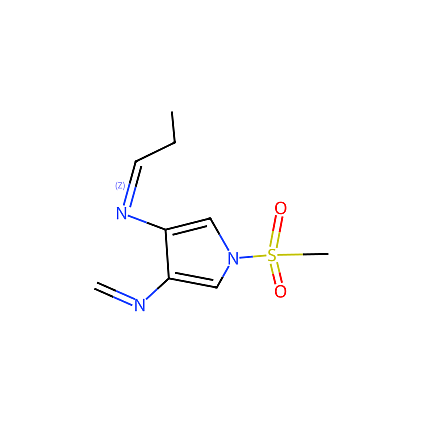 C=Nc1cn(S(C)(=O)=O)cc1/N=C\CC